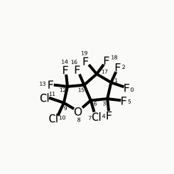 FC1(F)C(F)(F)C2(Cl)OC(Cl)(Cl)C(F)(F)C2(F)C1(F)F